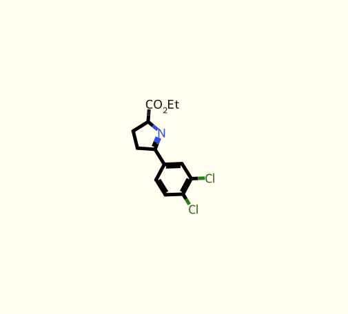 CCOC(=O)C1CCC(c2ccc(Cl)c(Cl)c2)=N1